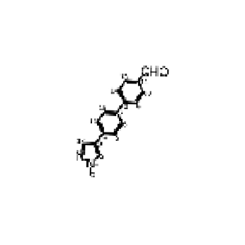 Cn1cc(-c2ccc(-c3ccc(C=O)cc3)cc2)cn1